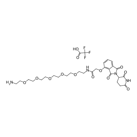 NCCOCCOCCOCCOCCOCCNC(=O)COc1cccc2c1C(=O)N(C1CCC(=O)NC1=O)C2=O.O=C(O)C(F)(F)F